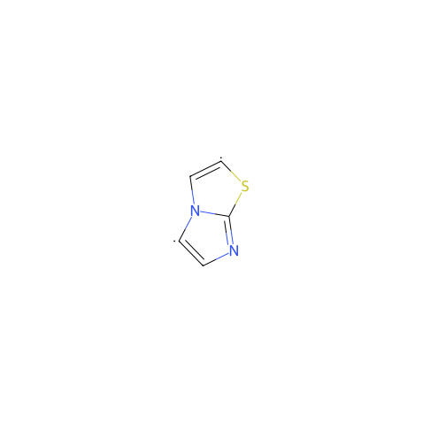 [c]1cn2[c]cnc2s1